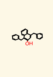 Oc1cc(Cc2ccccc2)c2ccccc2c1Cc1ccccc1